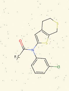 O=C(N(c1cccc(Cl)c1)c1cc2c(s1)CSCC2)C(F)(F)F